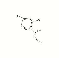 COC(=O)c1ccc(F)c[n+]1[O-]